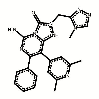 Cc1cc(-c2c(-c3ccccc3)nc(N)[n+]3c(=O)n(Cc4nncn4C)[nH]c23)cc(C)n1